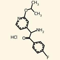 CC(C)Oc1cc(C(N)C(=O)c2ccc(F)cc2)ccn1.Cl